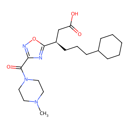 CN1CCN(C(=O)c2noc([C@H](CCCC3CCCCC3)CC(=O)O)n2)CC1